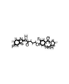 O=C(CCCOc1cc2c(cc1F)C(=O)N1CCC[C@H]1C=N2)Nc1nc2ccc(F)cc2s1